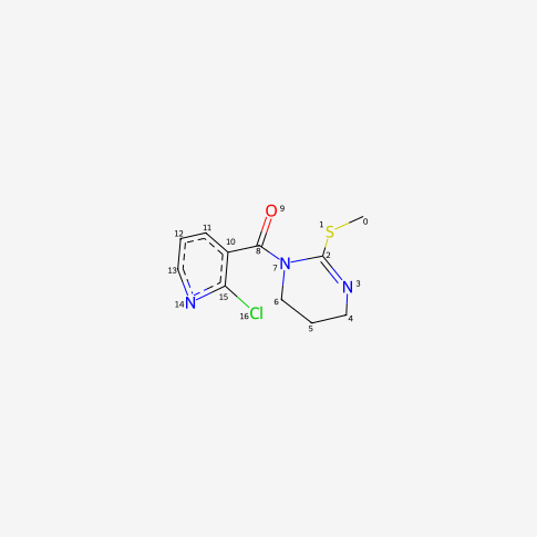 CSC1=NCCCN1C(=O)c1cccnc1Cl